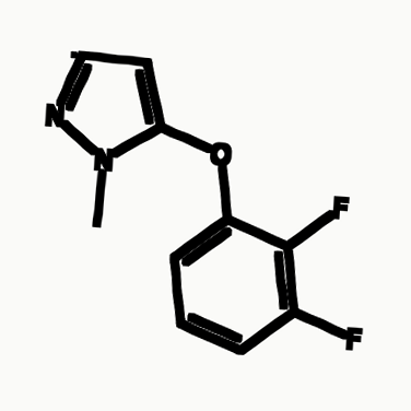 Cn1n[c]cc1Oc1cccc(F)c1F